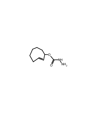 NNC(=O)OC1/C=C/CCCCC1